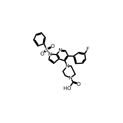 O=C(O)N1CCN(c2c(-c3cccc(F)c3)cnc3c2ccn3S(=O)(=O)c2ccccc2)CC1